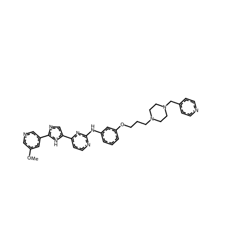 COc1cncc(-c2ncc(-c3ccnc(Nc4cccc(OCCCN5CCN(Cc6ccncc6)CC5)c4)n3)[nH]2)c1